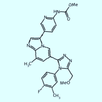 COCc1nnc(-c2cc(C)c3ncc(-c4ccc(NC(=O)OC)nc4)n3c2)n1-c1ccc(F)c(C)c1